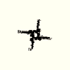 BrCCCCCCOc1cccc(C2=C3C=CC(=N3)C(c3cccc(OCCCCCCBr)c3)=C3C=CC(=N3)C(c3cccc(OCCCCCCBr)c3)=C3C=CC(=N3)C(c3cccc(OCCCCCCBr)c3)=C3C=CC2=N3)c1